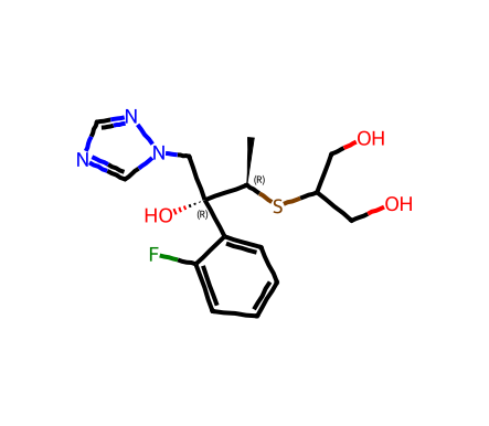 C[C@@H](SC(CO)CO)[C@](O)(Cn1cncn1)c1ccccc1F